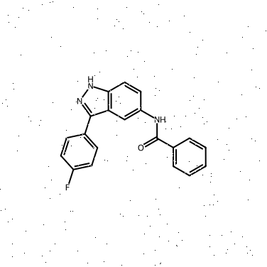 O=C(Nc1ccc2[nH]nc(-c3ccc(F)cc3)c2c1)c1ccccc1